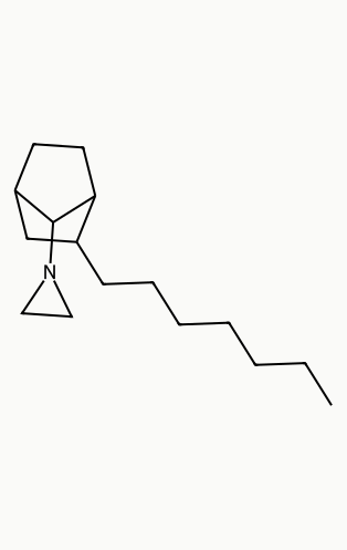 CCCCCCCC1CC2CCC1C2N1CC1